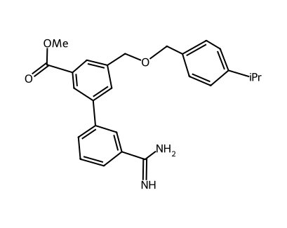 COC(=O)c1cc(COCc2ccc(C(C)C)cc2)cc(-c2cccc(C(=N)N)c2)c1